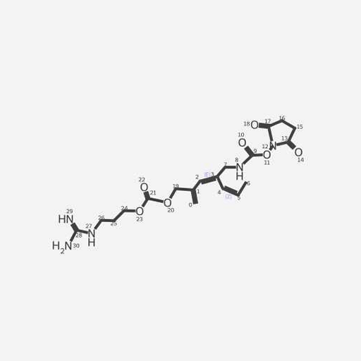 C=C(/C=C(\C=C/C)CNC(=O)ON1C(=O)CCC1=O)COC(=O)OCCCNC(=N)N